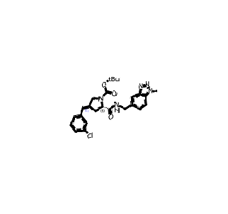 Cn1nnc2cc(CNC(=O)[C@@H]3C/C(=C\c4cccc(Cl)c4)CN3C(=O)OC(C)(C)C)ccc21